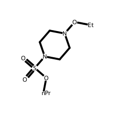 CCCOS(=O)(=O)N1CCN(OCC)CC1